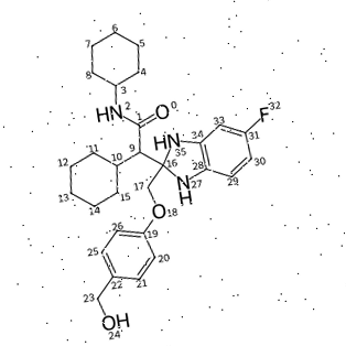 O=C(NC1CCCCC1)C(C1CCCCC1)C1(COc2ccc(CO)cc2)Nc2ccc(F)cc2N1